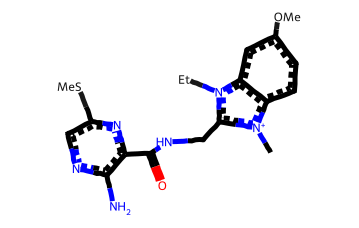 CCn1c(CNC(=O)c2nc(SC)cnc2N)[n+](C)c2ccc(OC)cc21